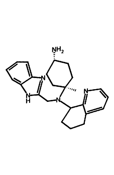 C[C@]1(N(Cc2nc3ccccc3[nH]2)C2CCCc3cccnc32)CC[C@H](N)CC1